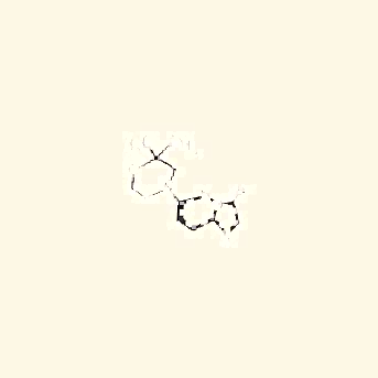 CC1(C)CN(c2ccc3ncc(Br)n3n2)CCO1